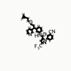 N#Cc1cccc(-n2nc(C(F)(F)F)cc2C(=O)Nc2cccc(C(CCOCCC3=CC3)c3cccnc3)c2)c1